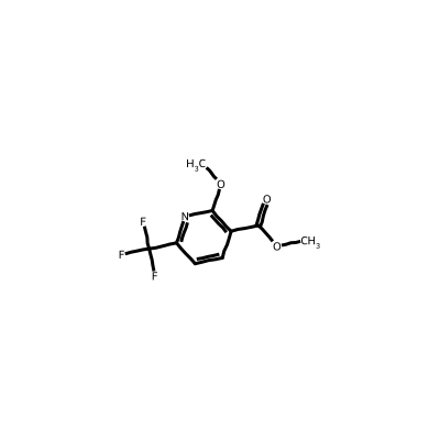 COC(=O)c1ccc(C(F)(F)F)nc1OC